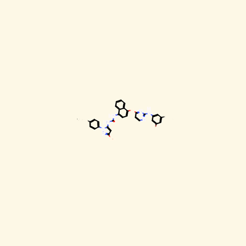 COc1ccc(-n2nc(O)cc2NC(=O)Nc2ccc(Oc3ccnc(Nc4cc(Br)cc(C(=O)O)c4)n3)c3ccccc23)cc1